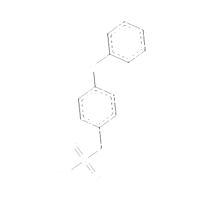 CS(=O)(=O)Cc1ccc(Oc2ccccc2)cc1